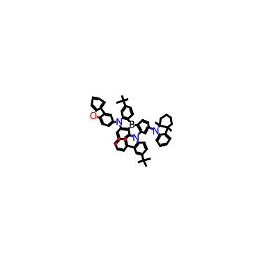 Cc1cc2c3c(c1)N(c1ccc(C(C)(C)C)cc1-c1ccccc1)c1cc(N4c5ccccc5C5(C)CCCCC45C)ccc1B3c1ccc(C(C)(C)C)cc1N2c1ccc2oc3ccccc3c2c1